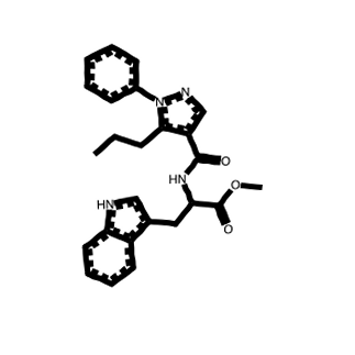 CCCc1c(C(=O)NC(Cc2c[nH]c3ccccc23)C(=O)OC)cnn1-c1ccccc1